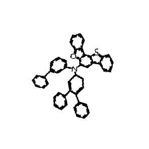 C1=C(c2ccccc2)C(c2ccccc2)=CC(N(c2cccc(-c3ccccc3)c2)c2cc3c4ccccc4sc3c3c2oc2ccccc23)C1